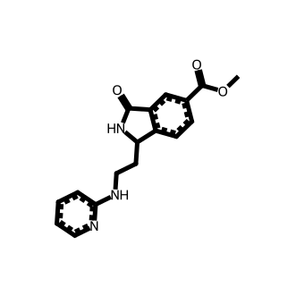 COC(=O)c1ccc2c(c1)C(=O)NC2CCNc1ccccn1